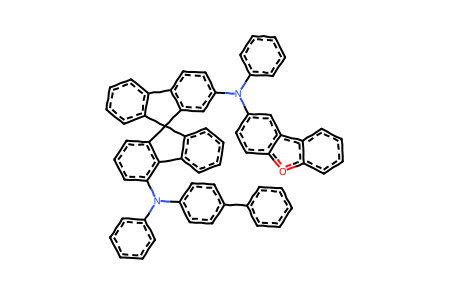 c1ccc(-c2ccc(N(c3ccccc3)c3cccc4c3-c3ccccc3C43c4ccccc4-c4ccc(N(c5ccccc5)c5ccc6oc7ccccc7c6c5)cc43)cc2)cc1